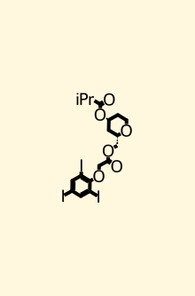 CC(C)C(=O)O[C@@H]1CCO[C@H](COC(=O)COc2c(I)cc(I)cc2I)C1